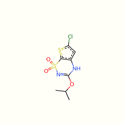 CC(C)OC1=NS(=O)(=O)c2sc(Cl)cc2N1